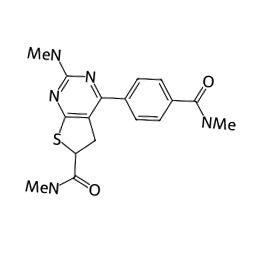 CNC(=O)c1ccc(-c2nc(NC)nc3c2CC(C(=O)NC)S3)cc1